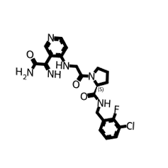 N=C(C(N)=O)c1cnccc1NCC(=O)N1CCC[C@H]1C(=O)NCc1cccc(Cl)c1F